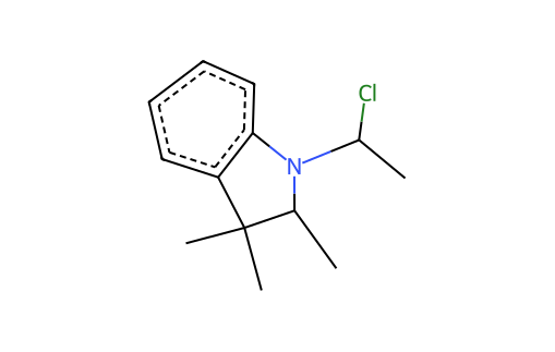 CC(Cl)N1c2ccccc2C(C)(C)C1C